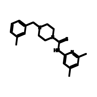 Cc1cccc(CN2CCN(C(=S)Nc3cc(C)cc(C)n3)CC2)c1